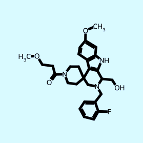 COCCC(=O)N1CCC2(CC1)CN(Cc1ccccc1F)C(CO)c1[nH]c3cc(OC)ccc3c12